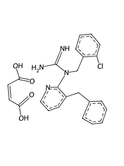 N=C(N)N(Cc1ccccc1Cl)c1ncccc1Cc1ccccc1.O=C(O)/C=C\C(=O)O